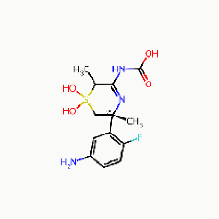 CC1C(NC(=O)O)=N[C@](C)(c2cc(N)ccc2F)CS1(O)O